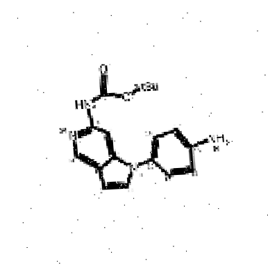 CC(C)(C)OC(=O)Nc1cc2c(ccn2-c2ccc(N)cc2)cn1